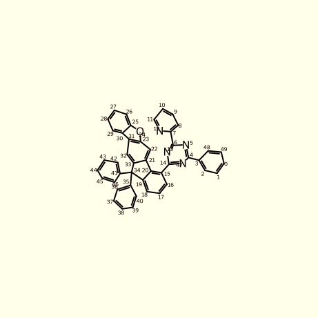 c1ccc(-c2nc(-c3ccccn3)nc(-c3cccc4c3-c3cc5oc6ccccc6c5cc3C4(c3ccccc3)c3ccccc3)n2)cc1